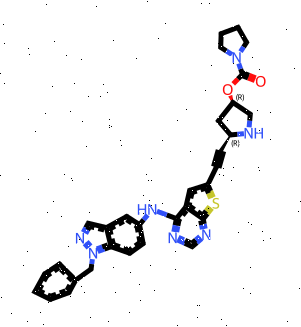 O=C(O[C@H]1CN[C@@H](C#Cc2cc3c(Nc4ccc5c(cnn5Cc5ccccc5)c4)ncnc3s2)C1)N1CCCC1